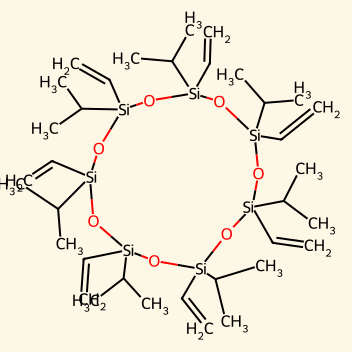 C=C[Si]1(C(C)C)O[Si](C=C)(C(C)C)O[Si](C=C)(C(C)C)O[Si](C=C)(C(C)C)O[Si](C=C)(C(C)C)O[Si](C=C)(C(C)C)O[Si](C=C)(C(C)C)O1